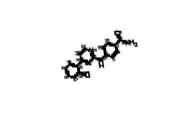 NC(=O)c1ccc(Nc2nccc(-c3ccccc3Cl)n2)cc1